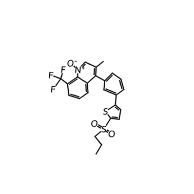 CCCS(=O)(=O)c1ccc(-c2cccc(-c3c(C)c[n+]([O-])c4c(C(F)(F)F)cccc34)c2)s1